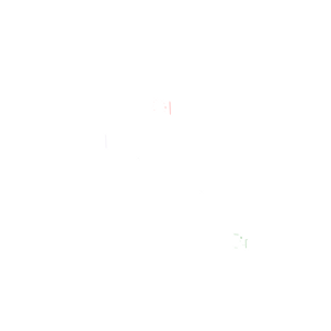 Oc1c(I)ccc2c(Br)cccc12